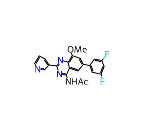 COc1cc(-c2cc(F)cc(F)c2)cc2c(NC(C)=O)nc(-c3cccnc3)nc12